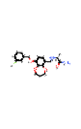 C[C@H](NCc1ccc(OCc2cccc(F)c2)c2c1OCCCO2)C(N)=O